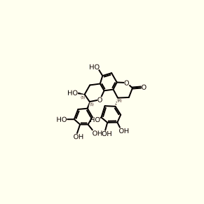 O=C1C[C@H](c2cc(O)c(O)c(O)c2)c2c(cc(O)c3c2O[C@@H](c2cc(O)c(O)c(O)c2)[C@@H](O)C3)O1